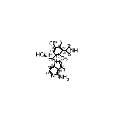 COc1c(C(C)n2nc(C)c3c(N)ncnc32)cc(Cl)c(C)c1C1CNC1.Cl.Cl